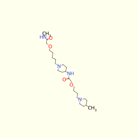 CNC(=O)COCCCCCN1CCC(NC(=O)COCCCCN2CCC(C)CC2)CC1